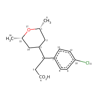 C[C@@H]1CC(C(CC(=O)O)c2ccc(Cl)cc2)C[C@H](C)O1